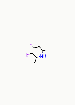 CC(CCI)N[C@@H](C)CI